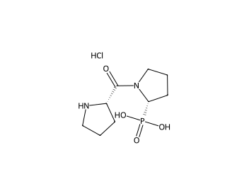 Cl.O=C([C@@H]1CCCN1)N1CCC[C@@H]1P(=O)(O)O